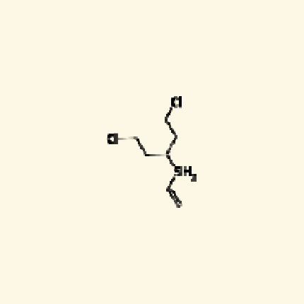 C=C[SiH2]C(CCCl)CCCl